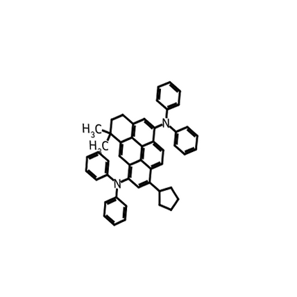 CC1(C)CCc2cc(N(c3ccccc3)c3ccccc3)c3ccc4c(C5CCCC5)cc(N(c5ccccc5)c5ccccc5)c5cc1c2c3c45